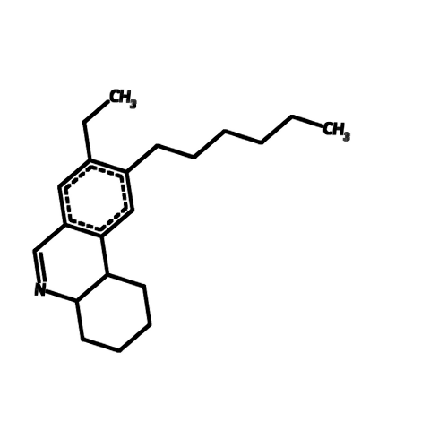 CCCCCCc1cc2c(cc1CC)C=NC1CCCCC21